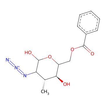 C[C@@H]1C(N=[N+]=[N-])C(O)OC(COC(=O)c2ccccc2)[C@H]1O